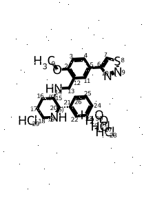 COc1ccc(-c2csnn2)cc1CN[C@H]1CCCN[C@H]1c1ccccc1.Cl.Cl.Cl.O.O